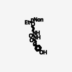 CCCCCCCCCC(CC)OCCCNC(=O)NC(=O)COc1ccc(O)cc1